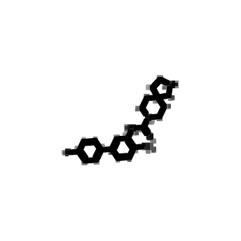 Nc1ccc(-c2ccc(F)cc2)cc1NC(=O)N1CCC2(CCNC2)CC1